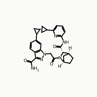 NC(=O)c1nn(CC(=O)N2[C@@H]3CC[C@@H](C3)[C@H]2C(=O)Nc2cccc(C3CC3)n2)c2cc(C3CC3)ccc12